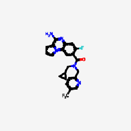 Nc1nc2cc(F)c(C(=O)N(Cc3ccc(C(F)(F)F)cn3)CC3CC3)cc2n2cccc12